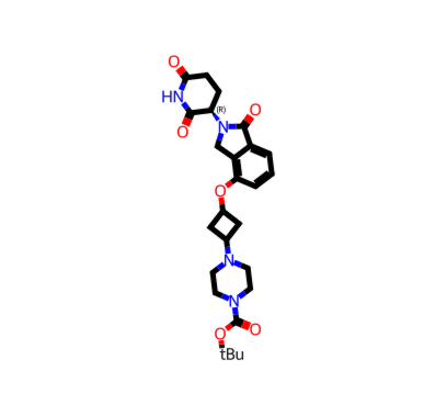 CC(C)(C)OC(=O)N1CCN(C2CC(Oc3cccc4c3CN([C@@H]3CCC(=O)NC3=O)C4=O)C2)CC1